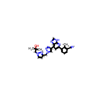 Cc1c(C#N)cccc1-c1cc(-c2cn(Cc3ccn(CC(C)(C)O)n3)nn2)c2nc[nH]c2n1